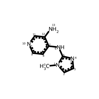 Cn1ccnc1Nc1ccncc1N